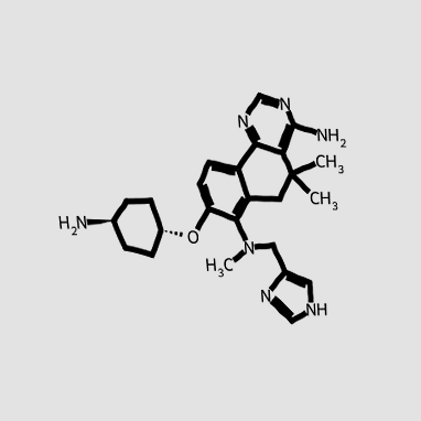 CN(Cc1c[nH]cn1)c1c(O[C@H]2CC[C@H](N)CC2)ccc2c1CC(C)(C)c1c(N)ncnc1-2